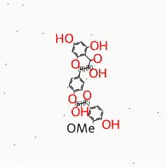 COc1cc([C@H]2Oc3cc([C@H]4Oc5cc(O)cc(O)c5C(=O)[C@@H]4O)ccc3O[C@@H]2O)ccc1O